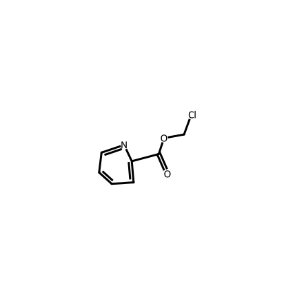 O=C(OCCl)c1ccccn1